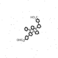 O=COc1ccc(-c2ccc3c(c2)B(c2ccccc2)c2cccc4c2N3c2ccccc2B4c2cccc(-c3ccc(C(=O)O)cc3)c2)cc1